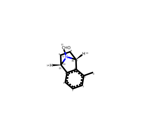 Cc1cccc2c1[C@H]1CC[C@@H]2N1C=O